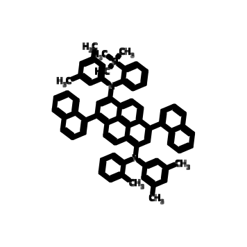 Cc1cc(C)cc(N(c2ccccc2C)c2cc(-c3cccc4ccccc34)c3ccc4c(N(c5cc(C)cc(C)c5)c5ccccc5[Si](C)(C)C)cc(-c5cccc6ccccc56)c5ccc2c3c54)c1